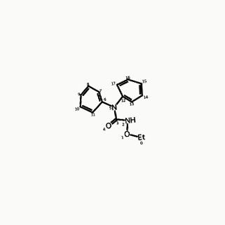 CCONC(=O)N(c1ccccc1)c1ccccc1